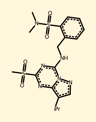 CC(C)c1cnn2c(NCc3ccccc3S(=O)(=O)N(C)C)nc(S(C)(=O)=O)nc12